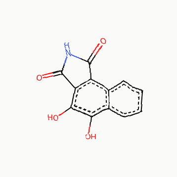 O=C1NC(=O)c2c1c(O)c(O)c1ccccc21